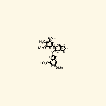 COc1cc(C(=O)O)n2nc(C[C@H](OC3CCCC3)[C@H](O)c3cc(OC)c(C)c(OC)c3)cc2c1